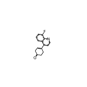 O=C1CC=C(c2ccnc3c(F)cccc23)CC1